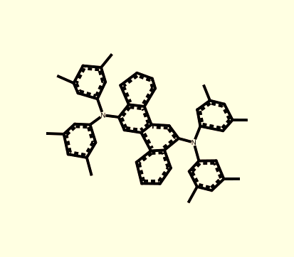 Cc1cc(C)cc(N(c2cc(C)cc(C)c2)c2cc3c4ccccc4c(N(c4cc(C)cc(C)c4)c4cc(C)cc(C)c4)cc3c3ccccc23)c1